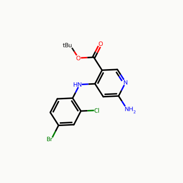 CC(C)(C)OC(=O)c1cnc(N)cc1Nc1ccc(Br)cc1Cl